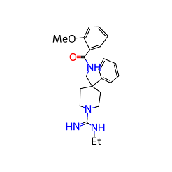 CCNC(=N)N1CCC(CNC(=O)c2ccccc2OC)(c2ccccc2)CC1